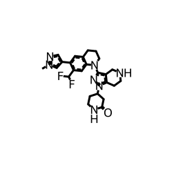 Cn1cc(-c2cc3c(cc2C(F)F)N(c2nn(C4CCNC(=O)C4)c4c2CNCC4)CCC3)cn1